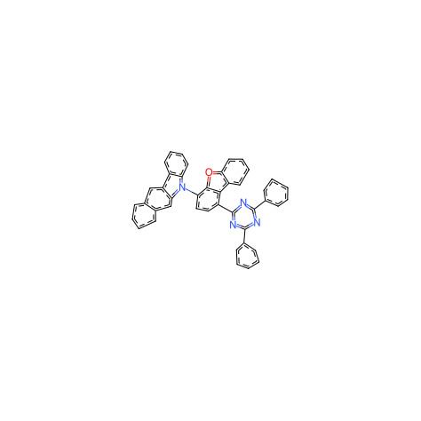 c1ccc(-c2nc(-c3ccccc3)nc(-c3ccc(-n4c5ccccc5c5cc6ccccc6cc54)c4oc5ccccc5c34)n2)cc1